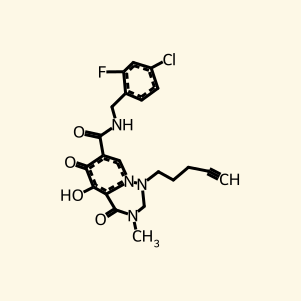 C#CCCCN1CN(C)C(=O)c2c(O)c(=O)c(C(=O)NCc3ccc(Cl)cc3F)cn21